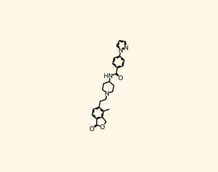 Cc1c(CCN2CCC(NC(=O)c3ccc(-n4cccn4)cc3)CC2)ccc2c1COC2=O